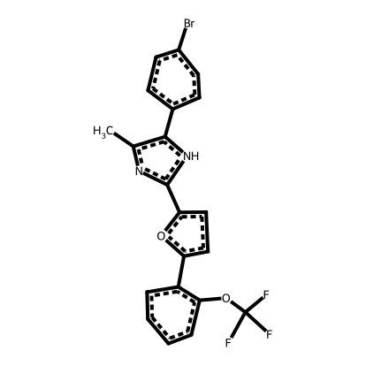 Cc1nc(-c2ccc(-c3ccccc3OC(F)(F)F)o2)[nH]c1-c1ccc(Br)cc1